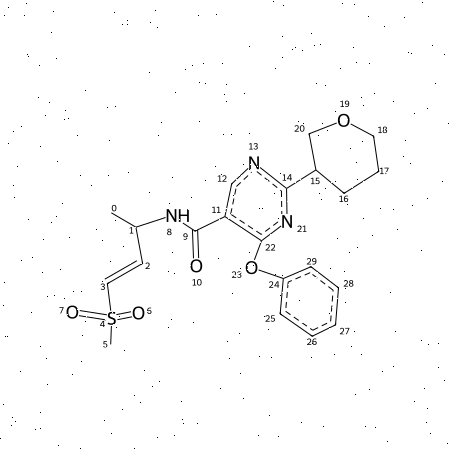 CC(/C=C/S(C)(=O)=O)NC(=O)c1cnc(C2CCCOC2)nc1Oc1ccccc1